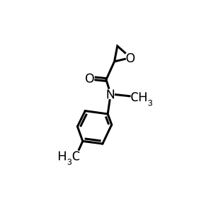 Cc1ccc(N(C)C(=O)C2CO2)cc1